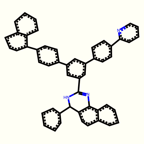 c1ccc(C2NC(c3cc(-c4ccc(-c5ccccn5)cc4)cc(-c4ccc(-c5cccc6ccccc56)cc4)c3)=Nc3c2ccc2ccccc32)cc1